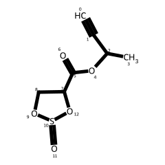 C#CC(C)OC(=O)C1COS(=O)O1